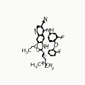 CCOc1cc2ncc(C#N)c(Nc3ccc(Oc4ccccc4F)c(F)c3)c2cc1NC(=O)/C=C/CN(C)C